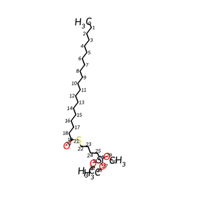 CCCCCCCCCCCCCCCCCCCC(=O)SCCCC[Si](OC)(OC)OC